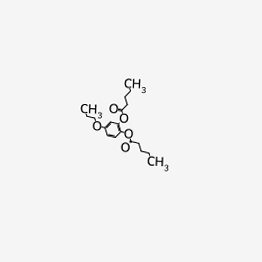 CCCCC(=O)Oc1ccc(OCCC)cc1OC(=O)CCCC